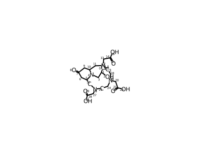 CC(O)CN1C2CC(=O)CC1CN(CC(=O)O)CCN(CC(=O)O)CCN(CC(=O)O)C2